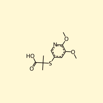 COc1cc(SC(C)(C)C(=O)O)cnc1OC